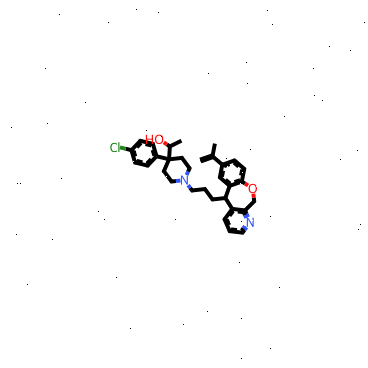 C=C(C)c1ccc2c(c1)C(CCCN1CCC(c3ccc(Cl)cc3)(C(C)O)CC1)c1cccnc1CO2